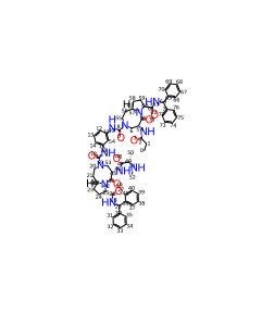 CCC(=O)N[C@H]1CN(C(=O)Nc2cccc(NC(=O)N3CC[C@H]4CC[C@@H](C(=O)NC(c5ccccc5)c5ccccc5)N4C(=O)[C@@H](NC(=O)[C@H](C)NC)C3)c2)CC[C@H]2CCC(C(=O)NC(c3ccccc3)c3ccccc3)N2C1=O